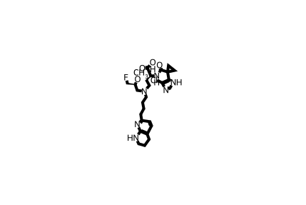 CO[C@H](CF)CN(CCCCc1ccc2c(n1)NCCC2)CC[C@H](NC(=O)C1(c2[nH]cnc2Cl)CC1)C(=O)O